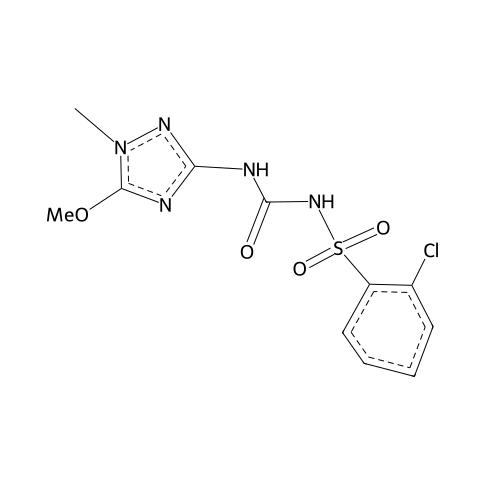 COc1nc(NC(=O)NS(=O)(=O)c2ccccc2Cl)nn1C